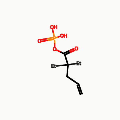 C=CCC(CC)(CC)C(=O)OP(=O)(O)O